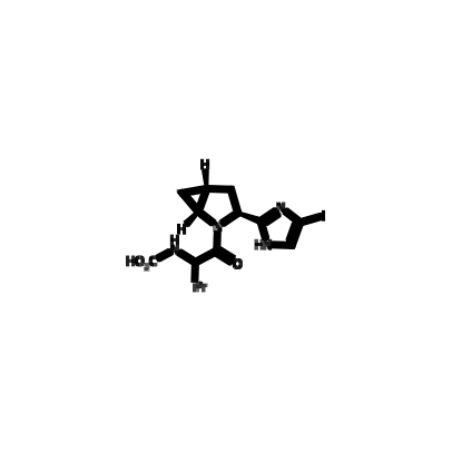 CC(C)C(NC(=O)O)C(=O)N1[C@@H]2C[C@@H]2C[C@H]1c1nc(I)c[nH]1